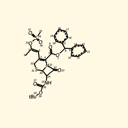 C/C(=C\C1=C(C(=O)OC(c2ccccc2)c2ccccc2)N2C(=O)C(NC(=O)OC(C)(C)C)C2SC1)OS(C)(=O)=O